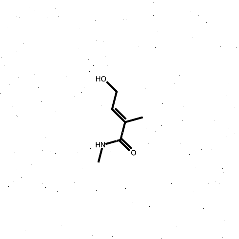 CNC(=O)C(C)=CCO